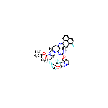 C#Cc1c(F)ccc2cccc(-c3nc4c5c(nc(OCC67CCCN6C[C@H](OC(C(F)(F)F)(C(F)(F)F)C(F)(F)F)C7)nc5c3F)N3C[C@@H](CC)N(C(=O)OC(C)(C)C)C[C@H]3CC4)c12